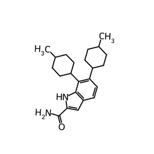 CC1CCC(c2ccc3cc(C(N)=O)[nH]c3c2C2CCC(C)CC2)CC1